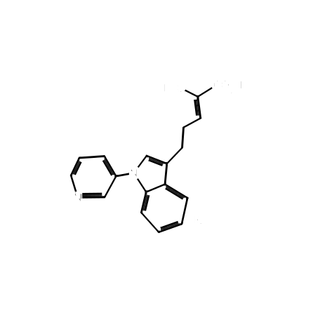 C/C(=C\CCc1cn(-c2cccnc2)c2ccccc12)C(=O)O.Cl